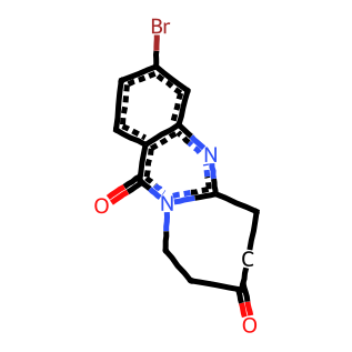 O=C1CCc2nc3cc(Br)ccc3c(=O)n2CC1